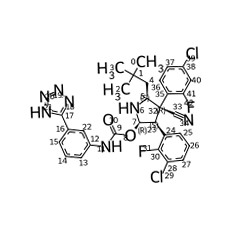 CC(C)(C)C[C@@H]1N[C@H](OC(=O)Nc2cccc(-c3nnn[nH]3)c2)[C@H](c2cccc(Cl)c2F)[C@@]1(C#N)c1ccc(Cl)cc1F